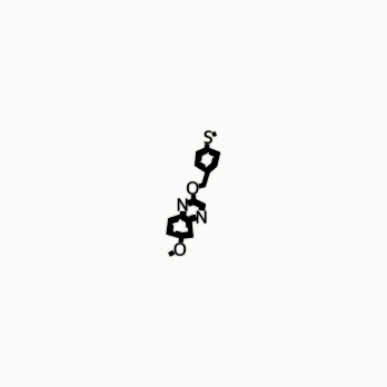 COc1ccc2nc(OCc3ccc(SC)cc3)cnc2c1